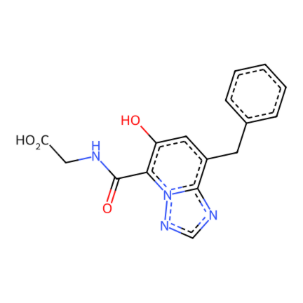 O=C(O)CNC(=O)c1c(O)cc(Cc2ccccc2)c2ncnn12